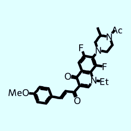 CCn1cc(C(=O)/C=C/c2ccc(OC)cc2)c(=O)c2cc(F)c(N3CCN(C(C)=O)C(C)C3)c(F)c21